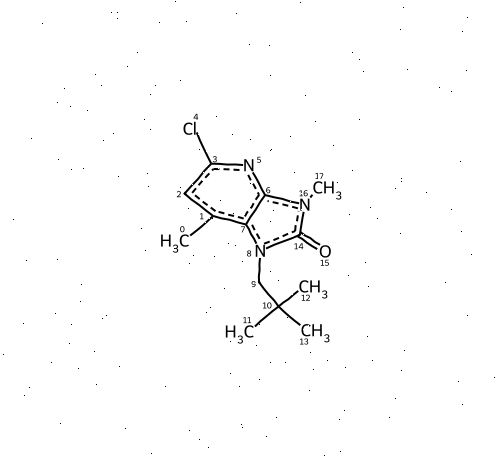 Cc1cc(Cl)nc2c1n(CC(C)(C)C)c(=O)n2C